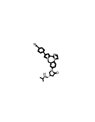 CC(C)NC[C@H]1CC(=O)N(c2ccc3c(c2)Cn2cc(-c4ccc(C#N)cc4)cc2-c2nccn2-3)C1